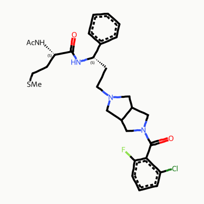 CSCC[C@H](NC(C)=O)C(=O)N[C@@H](CCN1CC2CN(C(=O)c3c(F)cccc3Cl)CC2C1)c1ccccc1